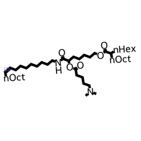 CCCCCCCC/C=C\CCCCCCCCNC(=O)C(CCCCCOC(=O)C(CCCCCC)CCCCCCCC)OC(=O)CCCCN(C)C